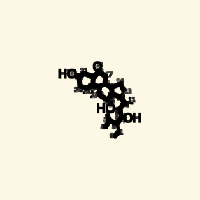 CC[C@@H](C(C)C)[C@@H](O)[C@H](O)[C@@H](C)[C@H]1CCC2C3CC(=O)C4C[C@H](O)CC[C@]4(C)C3CC[C@@]21C